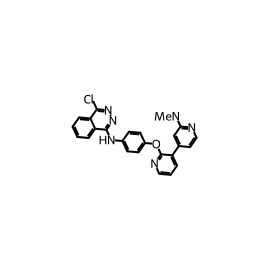 CNc1cc(-c2cccnc2Oc2ccc(Nc3nnc(Cl)c4ccccc34)cc2)ccn1